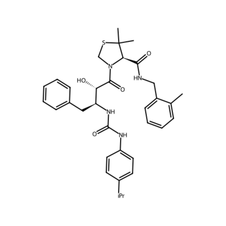 Cc1ccccc1CNC(=O)[C@H]1N(C(=O)[C@@H](O)[C@H](Cc2ccccc2)NC(=O)Nc2ccc(C(C)C)cc2)CSC1(C)C